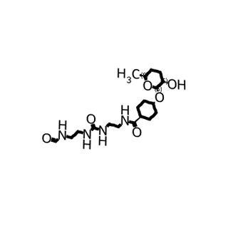 C[C@H]1CC[C@H](O)[C@H](O[C@H]2CC[C@H](C(=O)NCCNC(=O)NCCNC=O)CC2)O1